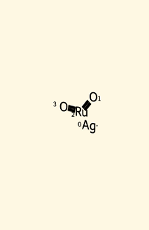 [Ag].[O]=[Ru]=[O]